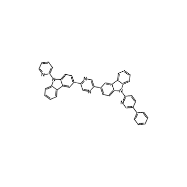 c1ccc(-c2ccc(-n3c4ccccc4c4cc(-c5cnc(-c6ccc7c(c6)c6ccccc6n7-c6ccccn6)cn5)ccc43)nc2)cc1